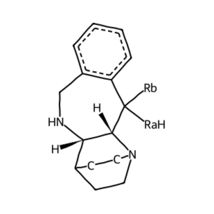 [Rb][C]1([RaH])c2ccccc2CN[C@H]2C3CCN(CC3)[C@H]21